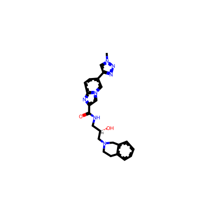 Cn1cc(-c2ccc3nc(C(=O)NC[C@H](O)CN4CCc5ccccc5C4)cn3c2)nn1